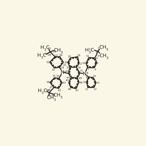 CC(C)(C)c1ccc(N(c2ccccc2)c2c3ccccc3c(N(c3ccc(C(C)(C)C)cc3)c3ccc(C(C)(C)C)cc3)c3ccccc23)cc1